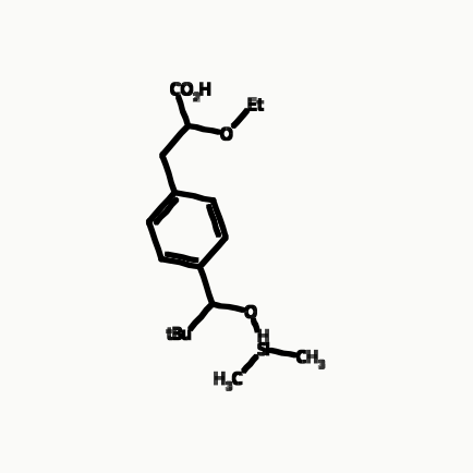 CCOC(Cc1ccc(C(O[SiH](C)C)C(C)(C)C)cc1)C(=O)O